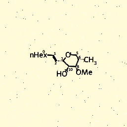 CCCCCCC=C[C@@H]1OC[C@H](C)[C@H](OC)[C@H]1O